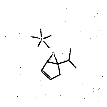 CC(C)C12CC=CC1O2.[CH3][Ti]([CH3])([CH3])([CH3])[CH3]